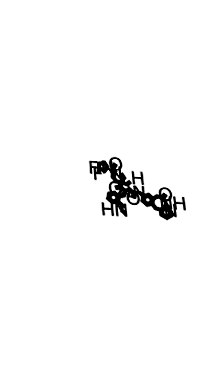 CCC1(C(=O)N(CC(=O)Nc2ccc3c(c2)CC(=O)Nc2ncccc2C3)Cc2ccccc2CNC)CCN(C(=O)N2CCC(F)(F)C2)CC1